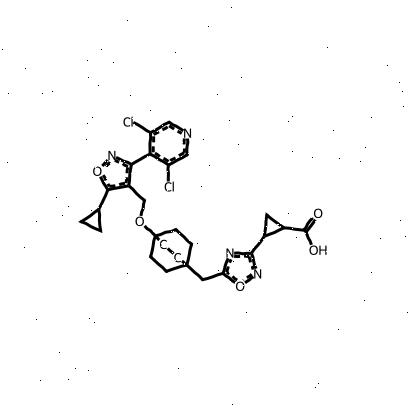 O=C(O)C1CC1c1noc(CC23CCC(OCc4c(-c5c(Cl)cncc5Cl)noc4C4CC4)(CC2)CC3)n1